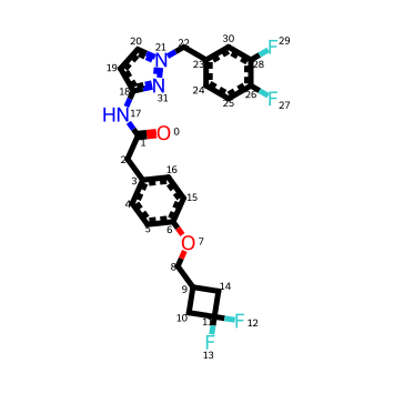 O=C(Cc1ccc(OCC2CC(F)(F)C2)cc1)Nc1ccn(Cc2ccc(F)c(F)c2)n1